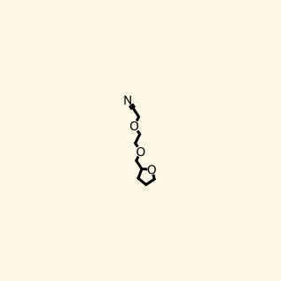 N#CCOCCOCC1CCCO1